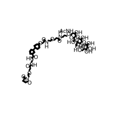 CC(=O)NC1C(O)[C@H](O[C@@H]2OC(CO)[C@H](O)C(O[C@H]3OC(CO)[C@H](O)C(O)C3O)C2O)C(CO)O[C@H]1OCCCNC(=O)CCOCCNC(=O)COc1ccc(-c2cccc(C(=O)NCCNC(=O)CCOCCN3C(=O)C=CC3=O)c2)cc1